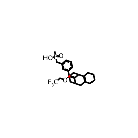 CP(=O)(O)Cc1cccc(/C(OCC(F)(F)F)=C2/C3CCCC2C2=C(CCCC2)C3)c1